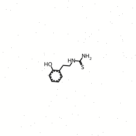 NC(=S)NCCc1ccccc1O